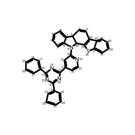 C1=CC2c3ccccc3N(c3cc(-c4nc(-c5ccccc5)nc(-c5ccccc5)n4)ccn3)C2c2sc3ccccc3c21